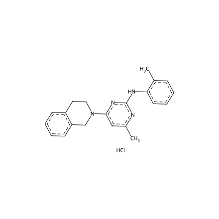 Cc1cc(N2CCc3ccccc3C2)nc(Nc2ccccc2C)n1.Cl